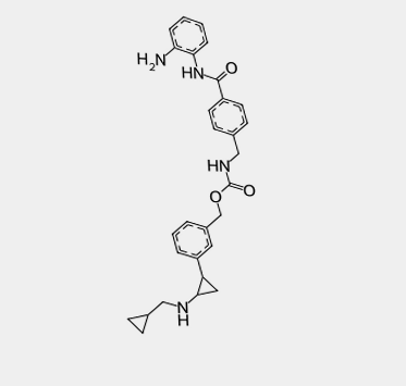 Nc1ccccc1NC(=O)c1ccc(CNC(=O)OCc2cccc(C3CC3NCC3CC3)c2)cc1